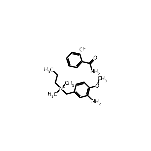 CCC[N+](C)(C)Cc1ccc(OC)c(N)c1.NC(=O)c1ccccc1.[Cl-]